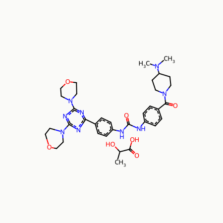 CC(O)C(=O)O.CN(C)C1CCN(C(=O)c2ccc(NC(=O)Nc3ccc(-c4nc(N5CCOCC5)nc(N5CCOCC5)n4)cc3)cc2)CC1